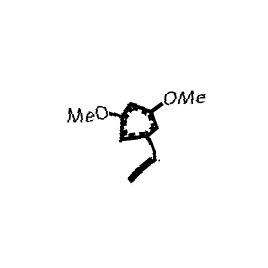 C=[C]c1cc(OC)cc(OC)c1